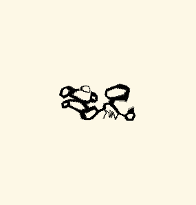 c1ccc(-c2cc(-c3ccc4c(c3)C3(c5ccccc5Oc5ccccc53)c3ccccc3-4)nnc2-c2ccccc2)cc1